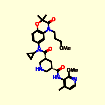 COCCCN1C(=O)C(C)(C)Oc2ccc(N(C(=O)[C@H]3CNC[C@@H](C(=O)Nc4c(C)ccnc4OC)C3)C3CC3)cc21